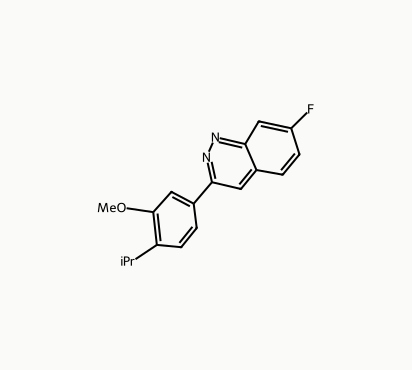 COc1cc(-c2cc3ccc(F)cc3nn2)ccc1C(C)C